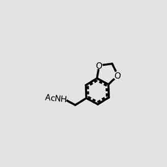 CC(=O)NCc1ccc2c(c1)OCO2